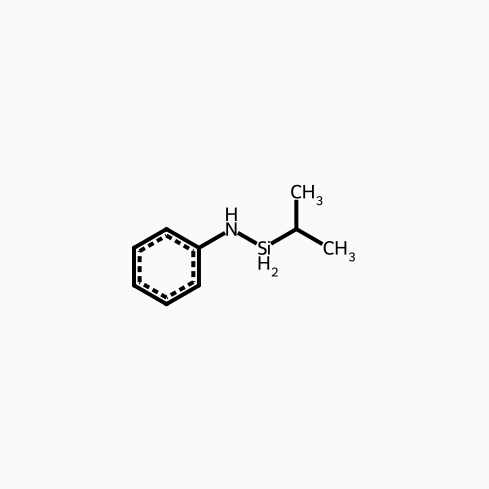 CC(C)[SiH2]Nc1ccccc1